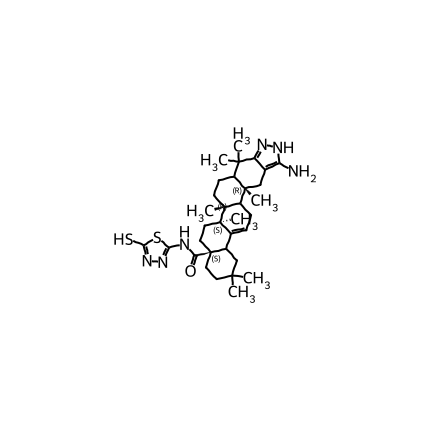 CC1(C)CC[C@]2(C(=O)Nc3nnc(S)s3)CC[C@]3(C)C(=CCC4[C@@]5(C)Cc6c(n[nH]c6N)C(C)(C)C5CC[C@]43C)C2C1